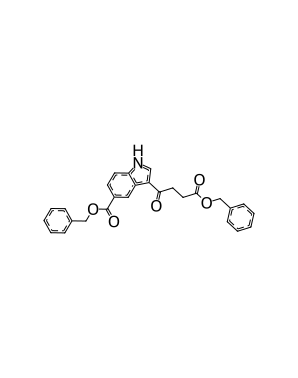 O=C(CCC(=O)c1c[nH]c2ccc(C(=O)OCc3ccccc3)cc12)OCc1ccccc1